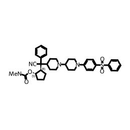 CNC(=O)O[C@H]1CCC[C@@H]1C(C#N)(c1ccccc1)C1CCN(C2CCN(c3ccc(S(=O)(=O)c4ccccc4)cc3)CC2)CC1